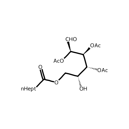 CCCCCCCC(=O)OC[C@@H](O)[C@@H](OC(C)=O)[C@H](OC(C)=O)[C@H](C=O)OC(C)=O